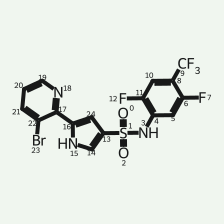 O=S(=O)(Nc1cc(F)c(C(F)(F)F)cc1F)c1c[nH]c(-c2ncccc2Br)c1